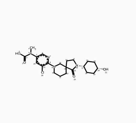 CN(C(=O)O)c1cnc(N2CCCC3(CCN([C@H]4CC[C@@H](O)CC4)C3=O)C2)c(Cl)c1